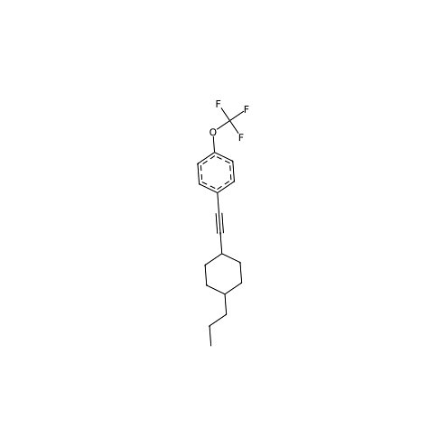 CCCC1CCC(C#Cc2ccc(OC(F)(F)F)cc2)CC1